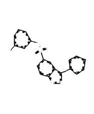 O=S(=O)(Nc1cccc(F)c1)c1ccc2[nH]nc(-c3ccccc3)c2c1